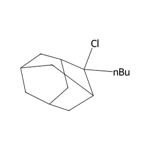 CCCCC1(Cl)C2CC3CC(C2)CC1C3